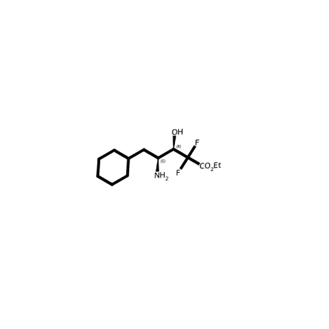 CCOC(=O)C(F)(F)[C@H](O)[C@@H](N)CC1CCCCC1